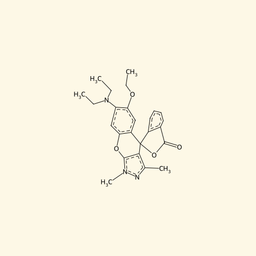 CCOc1cc2c(cc1N(CC)CC)Oc1c(c(C)nn1C)C21OC(=O)c2ccccc21